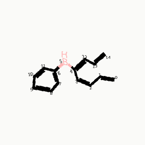 C=C/C=C\C(Bc1ccccc1)=C/C=C